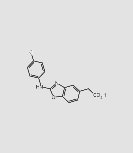 O=C(O)Cc1ccc2oc(Nc3ccc(Cl)cc3)nc2c1